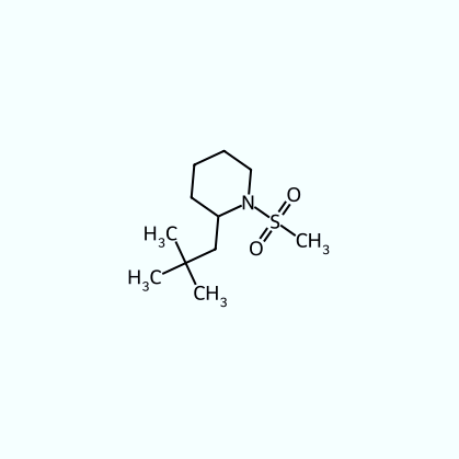 CC(C)(C)CC1CCCCN1S(C)(=O)=O